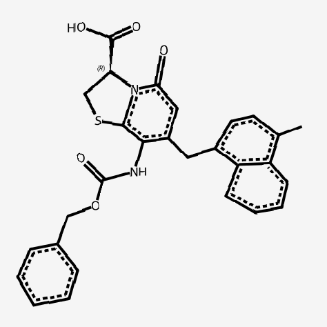 Cc1ccc(Cc2cc(=O)n3c(c2NC(=O)OCc2ccccc2)SC[C@H]3C(=O)O)c2ccccc12